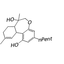 CCCCCc1cc(O)c2c(c1)OCC(C)(O)C1CCC(C)=CC21